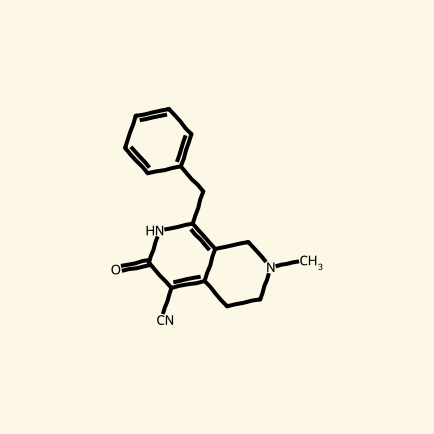 CN1CCc2c(c(Cc3ccccc3)[nH]c(=O)c2C#N)C1